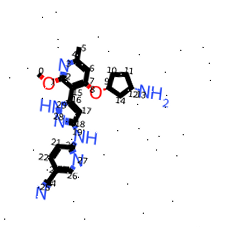 COc1nc(C)cc(O[C@@H]2CC[C@H](N)C2)c1-c1cc(Nc2ccc(C#N)cn2)n[nH]1